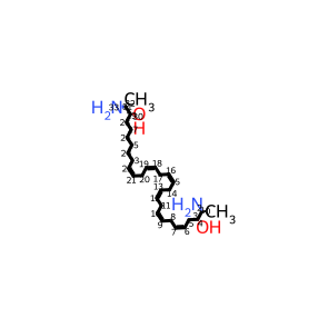 C[C@H](N)[C@H](O)C/C=C\C/C=C\C/C=C\C/C=C\C/C=C\C/C=C\CCCCCC[C@@H](O)[C@H](C)N